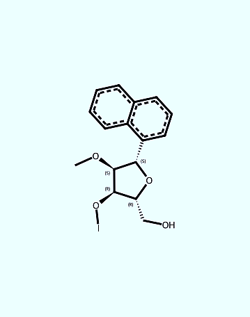 CO[C@@H]1[C@H](OI)[C@@H](CO)O[C@H]1c1cccc2ccccc12